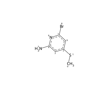 CSc1cc(N)nc(Br)c1